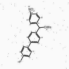 COC(c1ccc(-c2ccc(F)cc2)cc1)c1ccc([N+](=O)[O-])cc1